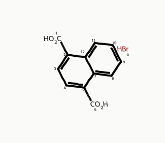 Br.O=C(O)c1ccc(C(=O)O)c2ccccc12